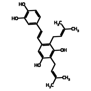 CC(C)=CCc1c(O)cc(C=Cc2ccc(O)c(O)c2)c(CC=C(C)C)c1O